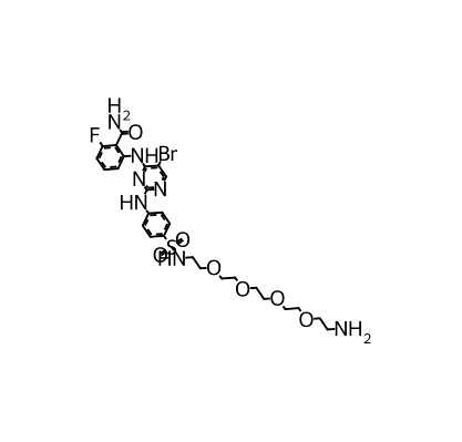 NCCOCCOCCOCCOCCNS(=O)(=O)c1ccc(Nc2ncc(Br)c(Nc3cccc(F)c3C(N)=O)n2)cc1